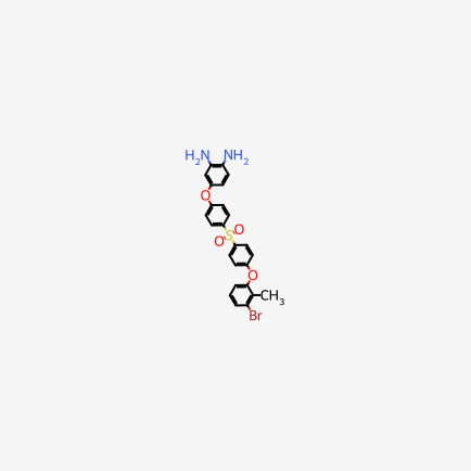 Cc1c(Br)cccc1Oc1ccc(S(=O)(=O)c2ccc(Oc3ccc(N)c(N)c3)cc2)cc1